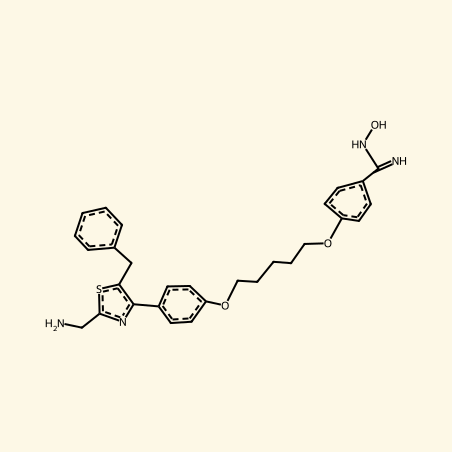 N=C(NO)c1ccc(OCCCCCOc2ccc(-c3nc(CN)sc3Cc3ccccc3)cc2)cc1